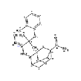 Cc1ccccc1OC(C)(C)/C(=N\C#N)NC1C2CC3CC1CC(C(N)=O)(C3)C2